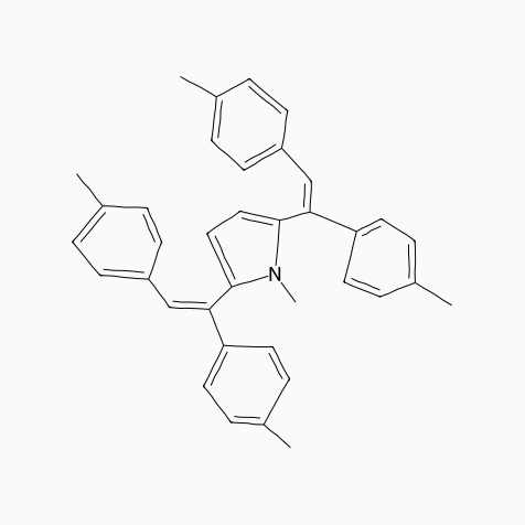 Cc1ccc(/C=C(/c2ccc(C)cc2)c2ccc(/C(=C\c3ccc(C)cc3)c3ccc(C)cc3)n2C)cc1